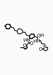 Cc1ccc(C(=O)Nc2cc(C(O)NCCCN3CCCC3=O)ccc2CCC2CCC(CCc3ccccc3)CC2)o1